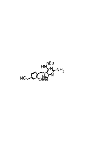 CCCCNc1nc(N)nc2cnn(Cc3ccc(CC#N)cc3OC)c12